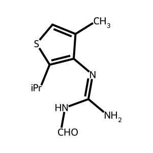 Cc1csc(C(C)C)c1/N=C(/N)NC=O